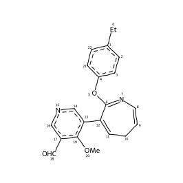 CCc1ccc(OC2=NC=CCC=C2c2cncc(C=O)c2OC)cc1